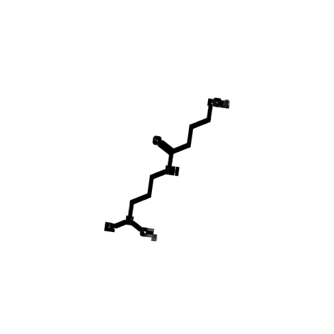 CCCCCCCCCCCC(=O)NCCCN(C)CC